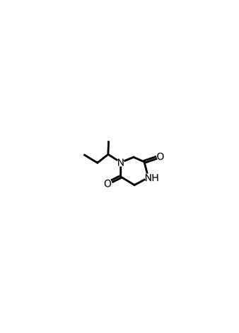 CCC(C)N1CC(=O)NCC1=O